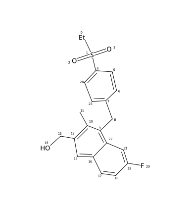 CCS(=O)(=O)c1ccc(Cc2c(C)c(CO)cc3ccc(F)cc23)cc1